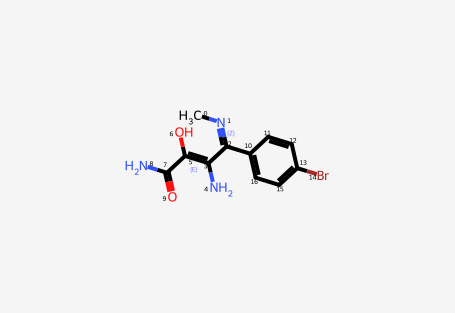 C/N=C(\C(N)=C(/O)C(N)=O)c1ccc(Br)cc1